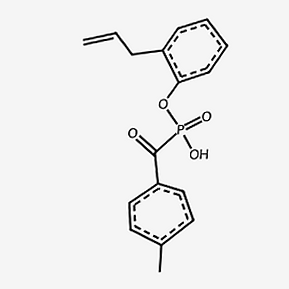 C=CCc1ccccc1OP(=O)(O)C(=O)c1ccc(C)cc1